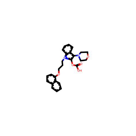 O=C(O)Oc1c(N2CCOCC2)c2ccccc2n1CCCOc1cccc2ccccc12